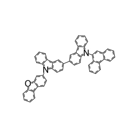 c1ccc2c(c1)cc(-n1c3ccccc3c3cc(-c4ccc5c(c4)c4ccccc4n5-c4ccc5c(c4)oc4ccccc45)ccc31)c1ccccc12